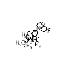 Cc1cc(N2CCCOC3=C2CCC(F)=C3)cc(C)c1NC(=O)CC(C)(C)C